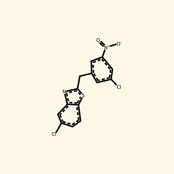 O=[N+]([O-])c1cc(Cl)cc(Cc2nc3cc(Cl)ccc3s2)c1